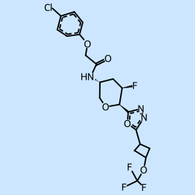 O=C(COc1ccc(Cl)cc1)N[C@H]1CO[C@H](c2nnc(C3CC(OC(F)(F)F)C3)o2)[C@H](F)C1